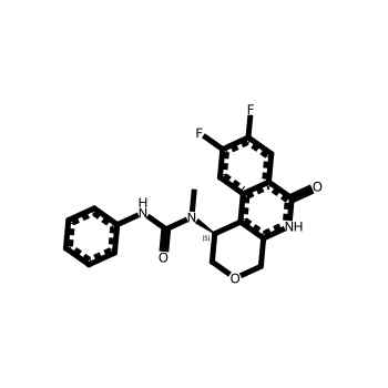 CN(C(=O)Nc1ccccc1)[C@@H]1COCc2[nH]c(=O)c3cc(F)c(F)cc3c21